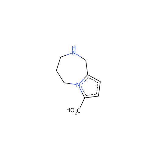 O=C(O)c1ccc2n1CCCNC2